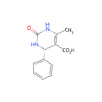 CC1=C(C(=O)O)[C@H](c2ccccc2)NC(=O)N1